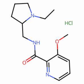 CCN1CCCC1CNC(=O)c1ncccc1OC.Cl